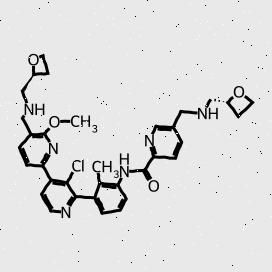 COc1nc(-c2ccnc(-c3cccc(NC(=O)c4ccc(CNC[C@H]5CCO5)cn4)c3C)c2Cl)ccc1CNC[C@@H]1CCO1